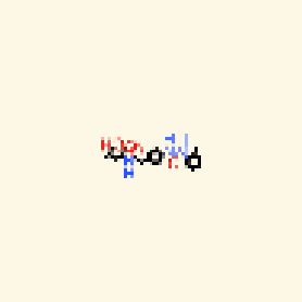 Cc1ccccc1NC(=O)Nc1ccc(CC(=O)NC(CC(C)C)C(=O)O)cc1